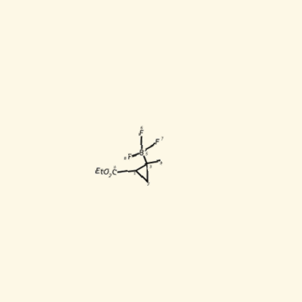 CCOC(=O)C1CC1(C)[B-](F)(F)F